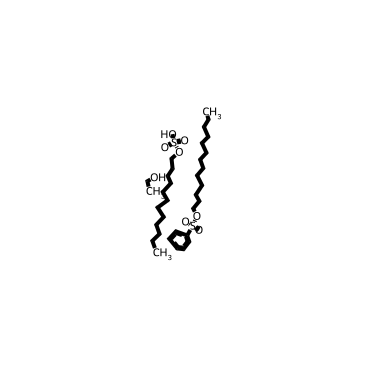 CCCCCCCCCCCCCOS(=O)(=O)c1ccccc1.CCCCCCCCCCCCOS(=O)(=O)O.CCO